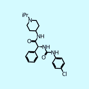 CC(C)N1CCC(NC(=O)[C@@H](NC(=O)Nc2ccc(Cl)cc2)c2ccccc2)CC1